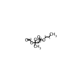 CCCOC(=O)CC(C)(C)O[C]=O